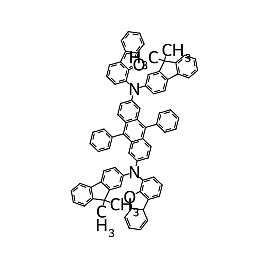 CC1(C)c2ccccc2-c2ccc(N(c3ccc4c(-c5ccccc5)c5cc(N(c6ccc7c(c6)C(C)(C)c6ccccc6-7)c6cccc7c6oc6ccccc67)ccc5c(-c5ccccc5)c4c3)c3cccc4c3OC3C=CC=CC43)cc21